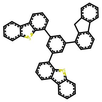 c1ccc2c(c1)Cc1c(-c3cc(-c4cccc5c4sc4ccccc45)cc(-c4cccc5c4sc4ccccc45)c3)cccc1-2